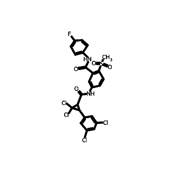 CS(=O)(=O)c1ccc(NC(=O)C2C(c3cc(Cl)cc(Cl)c3)C2(Cl)Cl)cc1C(=O)Nc1ccc(F)cc1